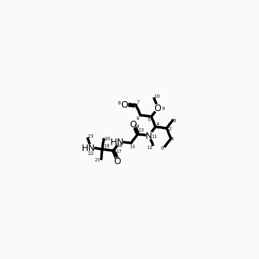 CCC(C)C(C(CC=O)OC)N(C)C(=O)CNC(=O)C(C)(C)NC